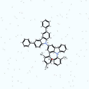 Cc1cccc(C)c1-n1c2ccccc2c2cc(-n3c4ccc(-c5ccccc5)cc4c4cc(-c5ccccc5)ccc43)cc(-c3ccc(C#N)cc3C#N)c21